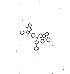 c1ccc(-c2ccc(N(c3ccc(-c4sc(-c5ccccc5)c5c4Oc4ccccc4O5)cc3)c3ccc4c(c3)C(c3ccccc3)(c3ccccc3)c3ccccc3-4)cc2)cc1